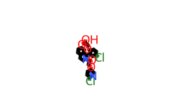 O=C(O)COc1ccc(Cl)cc1C1c2ccccc2CCN1C(=O)COc1ccc(Cl)nc1